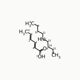 CC=CC=CC(=O)O.CCCCNCCCC